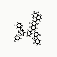 c1ccc(-c2nc(-c3ccccc3)nc(-c3ccc(-c4cccc5c4oc4ccccc45)c(-c4ccc5cc(-c6cccc7ccccc67)ccc5c4)c3)n2)cc1